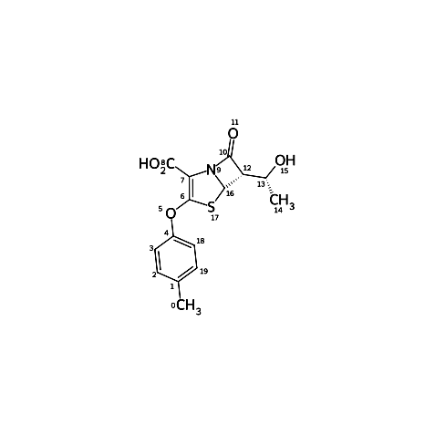 Cc1ccc(OC2=C(C(=O)O)N3C(=O)[C@H]([C@@H](C)O)C3S2)cc1